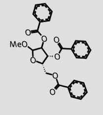 COC1O[C@@H](COC(=O)c2ccccc2)[C@@H](OC(=O)c2ccccc2)C1OC(=O)c1ccccc1